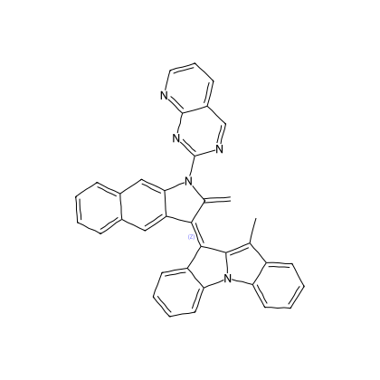 C=c1/c(=c2/c3ccccc3n3c2c(C)c2ccccc23)c2cc3ccccc3cc2n1-c1ncc2cccnc2n1